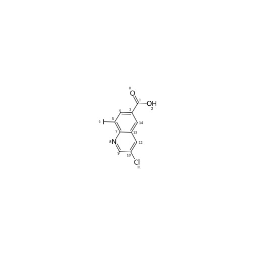 O=C(O)c1cc(I)c2ncc(Cl)cc2c1